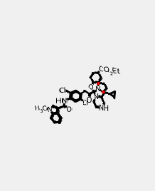 CCOC(=O)C1CCC(OC(C(=O)Cc2cc(Cl)c(NC(=O)c3cn(C)c4ccccc34)cc2Cl)(N2CCCC2)N2CCNCC2CC2CC2)CC1